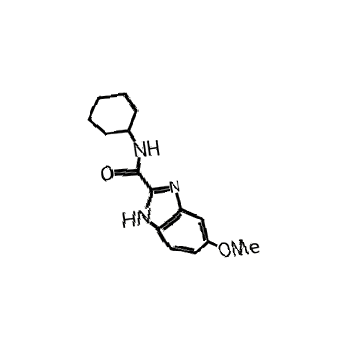 COc1ccc2[nH]c(C(=O)NC3CCCCC3)nc2c1